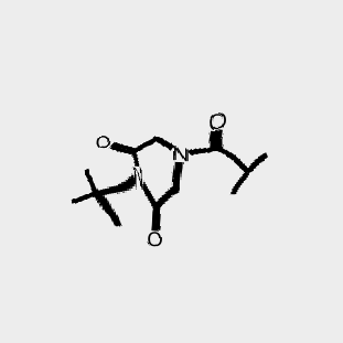 CC(C)C(=O)N1CC(=O)N(C(C)(C)C)C(=O)C1